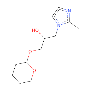 Cc1nccn1C[C@@H](O)COC1CCCCO1